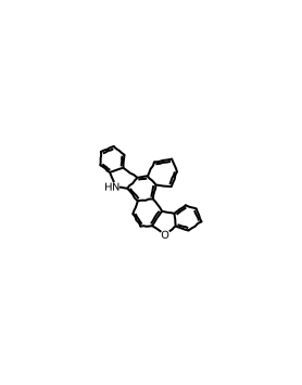 c1ccc2c(c1)[nH]c1c3ccc4oc5ccccc5c4c3c3ccccc3c21